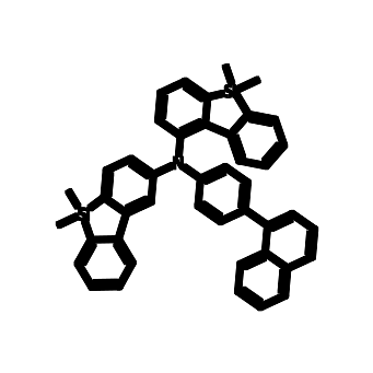 C[Si]1(C)c2ccccc2-c2cc(N(c3ccc(-c4cccc5ccccc45)cc3)c3cccc4c3-c3ccccc3[Si]4(C)C)ccc21